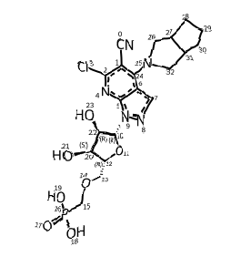 N#Cc1c(Cl)nc2c(cnn2[C@@H]2O[C@H](COCP(=O)(O)O)[C@@H](O)[C@H]2O)c1N1CC2CCCC2C1